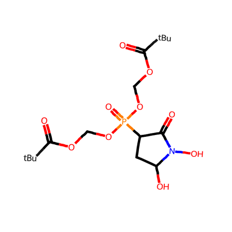 CC(C)(C)C(=O)OCOP(=O)(OCOC(=O)C(C)(C)C)C1CC(O)N(O)C1=O